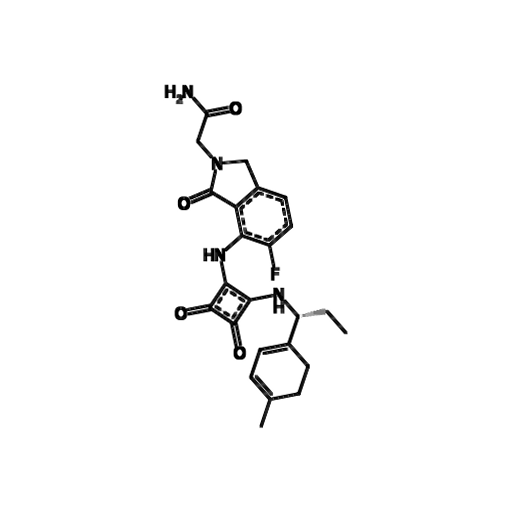 CC[C@@H](Nc1c(Nc2c(F)ccc3c2C(=O)N(CC(N)=O)C3)c(=O)c1=O)C1=CC=C(C)CC1